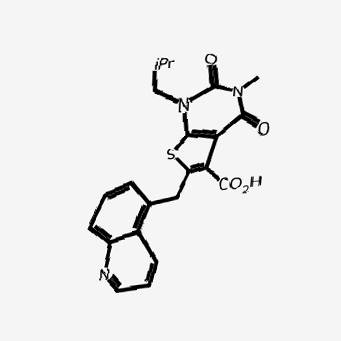 CC(C)Cn1c(=O)n(C)c(=O)c2c(C(=O)O)c(Cc3cccc4ncccc34)sc21